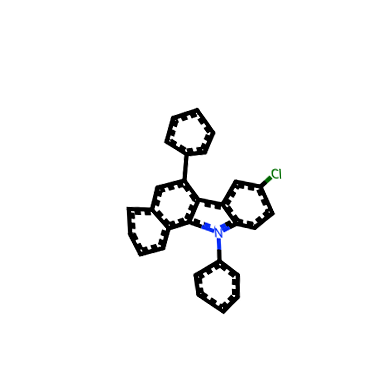 Clc1ccc2c(c1)c1c(-c3ccccc3)cc3ccccc3c1n2-c1ccccc1